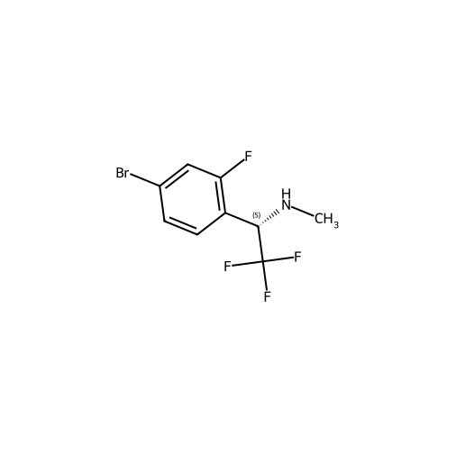 CN[C@@H](c1ccc(Br)cc1F)C(F)(F)F